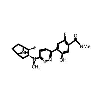 CNC(=O)c1cc(O)c(-c2ccc(N(C)[C@H]3CC4CCC(N4)[C@H]3F)nn2)cc1F